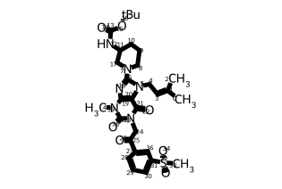 CC(C)=CCn1c(N2CCCC(NC(=O)OC(C)(C)C)C2)nc2c1c(=O)n(CC(=O)c1cccc(S(C)(=O)=O)c1)c(=O)n2C